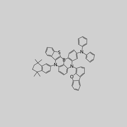 CC1(C)CCC(C)(C)c2cc(N3c4cccc5c4B(c4ccc(N(c6ccccc6)c6ccccc6)cc4N5c4cccc5c4oc4ccccc45)c4sc5ccccc5c43)ccc21